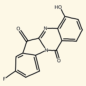 O=C1c2cc(F)ccc2-n2c1nc1c(O)cccc1c2=O